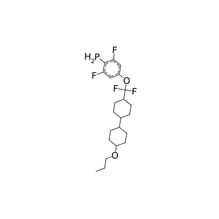 CCCOC1CCC(C2CCC(C(F)(F)Oc3cc(F)c(P)c(F)c3)CC2)CC1